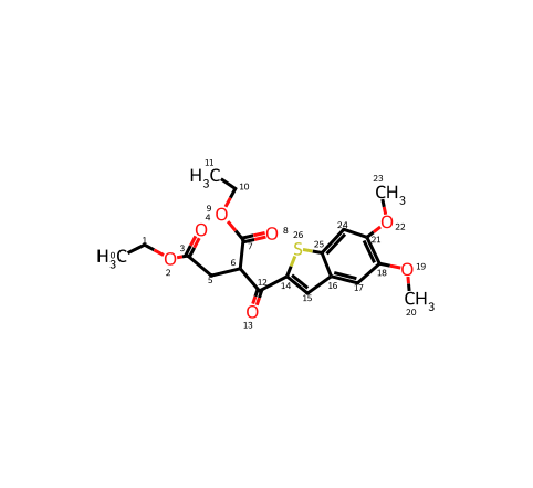 CCOC(=O)CC(C(=O)OCC)C(=O)c1cc2cc(OC)c(OC)cc2s1